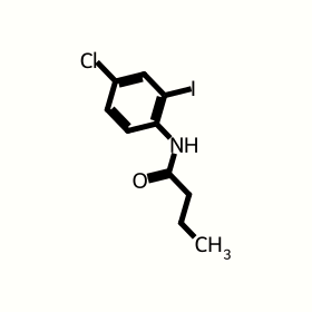 CCCC(=O)Nc1ccc(Cl)cc1I